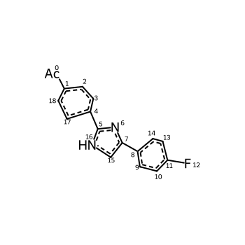 CC(=O)c1ccc(-c2nc(-c3ccc(F)cc3)c[nH]2)cc1